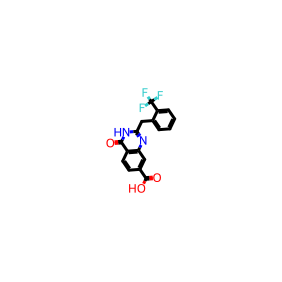 O=C(O)c1ccc2c(=O)[nH]c(Cc3ccccc3C(F)(F)F)nc2c1